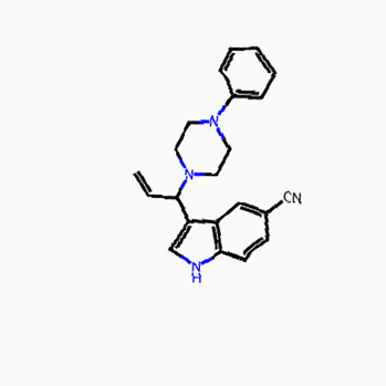 C=CC(c1c[nH]c2ccc(C#N)cc12)N1CCN(c2ccccc2)CC1